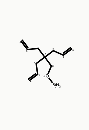 C=CCC(CC=C)(CC=C)CO[SiH3]